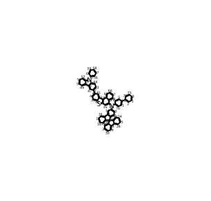 c1ccc(-c2ccc(N(c3ccc4c(c3)-c3ccccc3C43c4ccccc4-c4ccccc43)c3cc4sc5ccc(-c6ccc7c(c6)c6ccccc6n7-c6ccccc6)cc5c4c4ccccc34)cc2)cc1